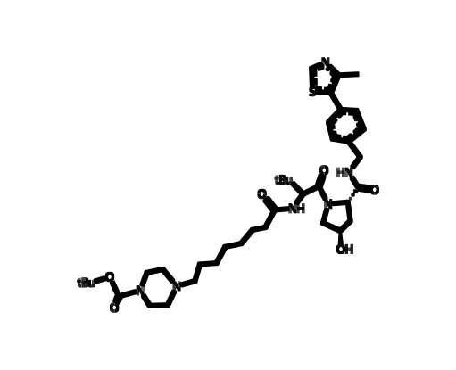 Cc1ncsc1-c1ccc(CNC(=O)[C@@H]2C[C@@H](O)CN2C(=O)C(NC(=O)CCCCCCCN2CCN(C(=O)OC(C)(C)C)CC2)C(C)(C)C)cc1